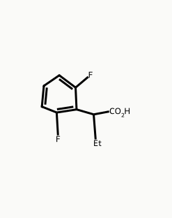 CCC(C(=O)O)c1c(F)cccc1F